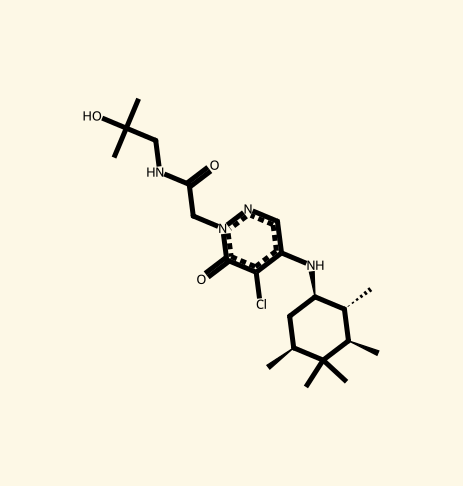 C[C@@H]1[C@@H](C)C(C)(C)[C@@H](C)C[C@H]1Nc1cnn(CC(=O)NCC(C)(C)O)c(=O)c1Cl